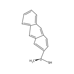 C[C@H](S)c1ccc2cc3ccccc3cc2c1